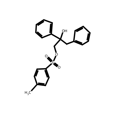 Cc1ccc(S(=O)(=O)OCC(O)([CH]c2ccccc2)c2ccccc2)cc1